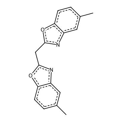 Cc1ccc2oc(Cc3nc4cc(C)ccc4o3)nc2c1